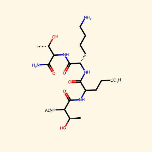 CC(=O)NC(C(=O)NC(CCC(=O)O)C(=O)N[C@@H](CCCCN)C(=O)NC(C(N)=O)[C@H](C)O)[C@@H](C)O